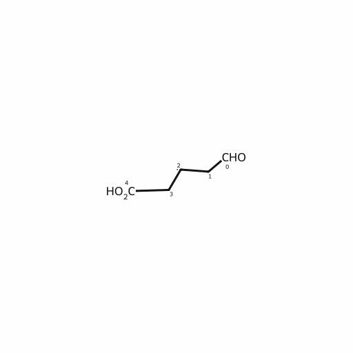 O=CC[CH]CC(=O)O